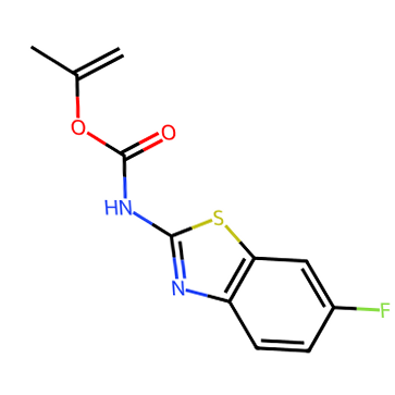 C=C(C)OC(=O)Nc1nc2ccc(F)cc2s1